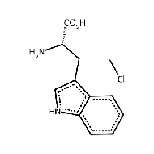 CCl.N[C@@H](Cc1c[nH]c2ccccc12)C(=O)O